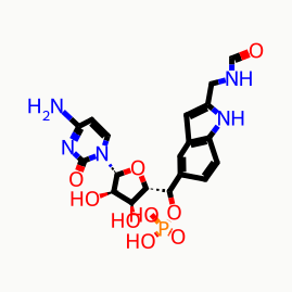 Nc1ccn([C@@H]2O[C@H](C(OP(=O)(O)O)c3ccc4[nH]c(CNC=O)cc4c3)[C@@H](O)[C@H]2O)c(=O)n1